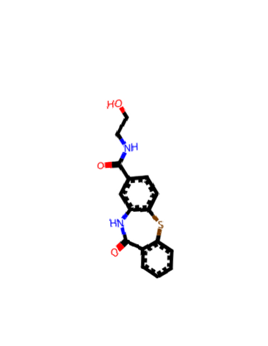 O=C(NCCO)c1ccc2c(c1)NC(=O)c1ccccc1S2